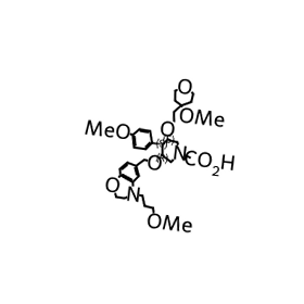 COCCCN1CCOc2ccc(CO[C@H]3CN(C(=O)O)C[C@@H](OCCC4(OC)CCOCC4)[C@@H]3c3ccc(OC)cc3)cc21